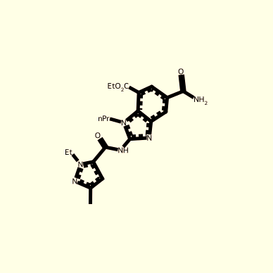 CCCn1c(NC(=O)c2cc(C)nn2CC)nc2cc(C(N)=O)cc(C(=O)OCC)c21